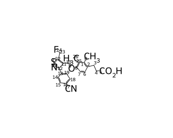 Cc1c(CCC(=O)O)ccc(OCc2c(-c3ccc(C#N)cc3)nsc2CF)c1C